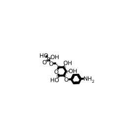 Nc1ccc(O[C@@H]2[C@@H](O)[C@@H](O)[C@@H](COP(=O)(O)O)O[C@@H]2O)cc1